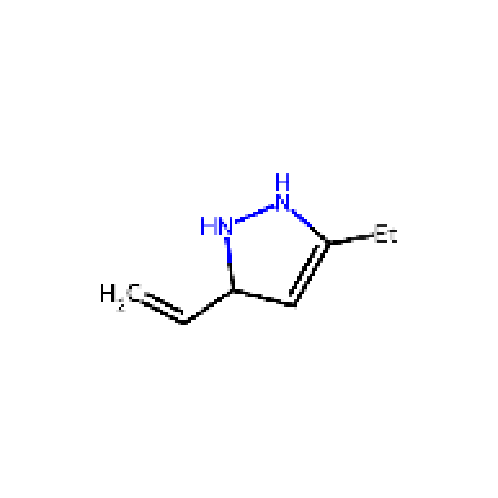 C=CC1C=C(CC)NN1